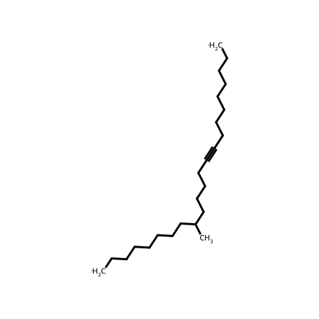 [CH2]CCCCCCCC#CCCCCC(C)CCCCCCC[CH2]